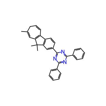 CC1=CC2=C(C=CC1)c1ccc(-c3nc(-c4ccccc4)nc(-c4ccccc4)n3)cc1C2(C)C